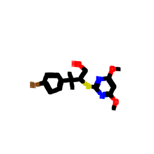 COc1cc(OC)nc(SC(CO)C(C)(C)c2ccc(Br)cc2)n1